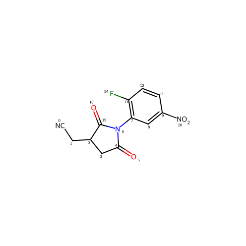 N#CCC1CC(=O)N(c2cc([N+](=O)[O-])ccc2F)C1=O